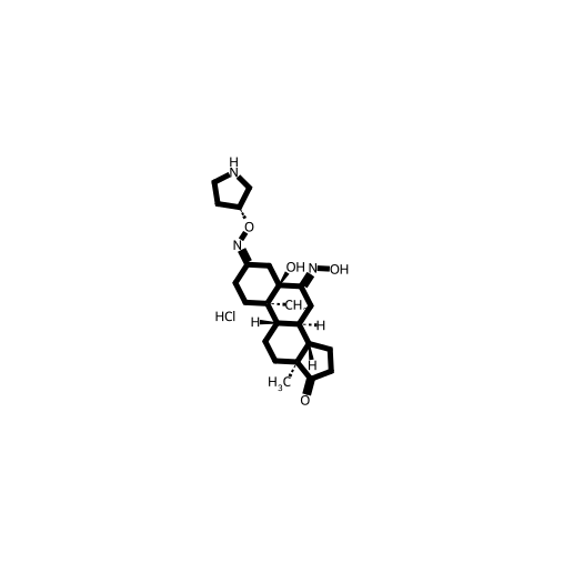 C[C@]12CC[C@H]3[C@@H](CC(=NO)[C@@]4(O)CC(=NO[C@@H]5CCNC5)CC[C@]34C)[C@@H]1CCC2=O.Cl